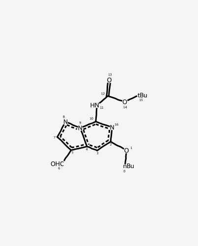 CCCCOc1cc2c(C=O)cnn2c(NC(=O)OC(C)(C)C)n1